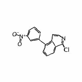 O=[N+]([O-])c1cccc(-c2cccc3c(Cl)nccc23)c1